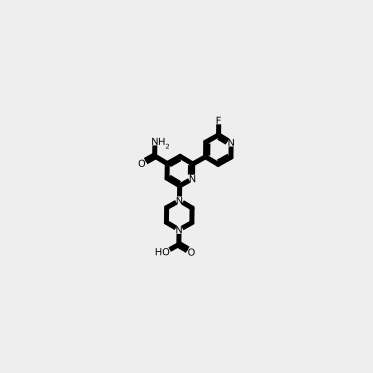 NC(=O)c1cc(-c2ccnc(F)c2)nc(N2CCN(C(=O)O)CC2)c1